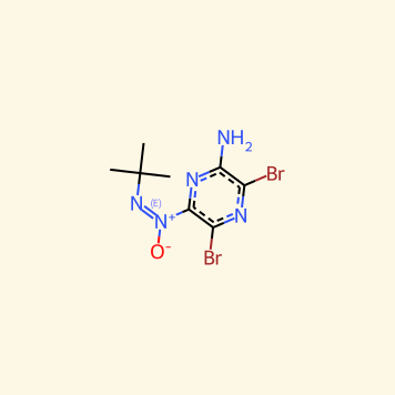 CC(C)(C)/N=[N+](/[O-])c1nc(N)c(Br)nc1Br